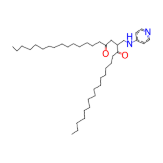 CCCCCCCCCCCCCCCC(=O)CC(CNc1ccncc1)C(=O)CCCCCCCCCCCCCCC